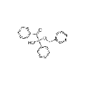 O=C(c1ccccc1)C(O)(OCc1ccccc1)c1ccccc1